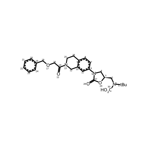 CC(C)(C)N(C[C@@H]1CN(c2ccc3c(c2)CN(C(=O)COCc2ccccc2)CC3)C(=O)O1)C(=O)O